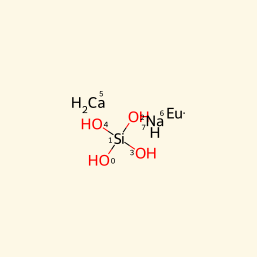 O[Si](O)(O)O.[CaH2].[Eu].[NaH]